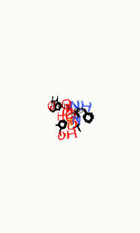 Cc1ccc(S(=O)(=O)N(CC(C)C)C[C@@H](O)[C@H](Cc2ccccc2)NC(=O)O[C@@H]2CC3CCO[C@@H]3C2)cc1CO